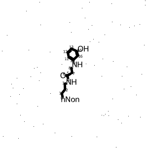 CCCCCCCCCCCCNC(=O)CCNc1cccc(O)c1